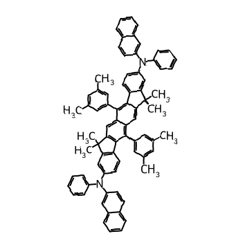 Cc1cc(C)cc(-c2c3c(cc4c(-c5cc(C)cc(C)c5)c5c(cc24)C(C)(C)c2cc(N(c4ccccc4)c4ccc6ccccc6c4)ccc2-5)C(C)(C)c2cc(N(c4ccccc4)c4ccc5ccccc5c4)ccc2-3)c1